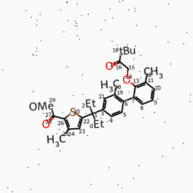 CCC(CC)(c1ccc(-c2cccc(C)c2OCC(=O)C(C)(C)C)c(C)c1)c1cc(C)c(C(=O)OC)s1